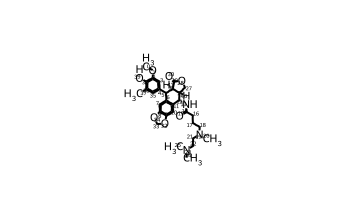 COc1cc(C2c3cc4c(cc3[C@@H](NC(=O)CCCN(C)CCN(C)C)[C@H]3COC(=O)[C@H]23)OCO4)cc(C)c1O